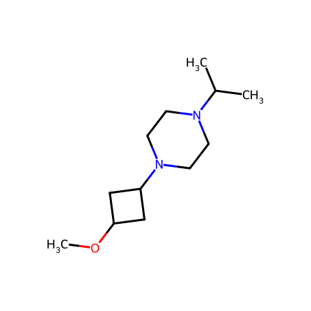 COC1CC(N2CCN(C(C)C)CC2)C1